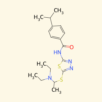 CCN(CC)C(C)Sc1nnc(NC(=O)c2ccc(C(C)C)cc2)s1